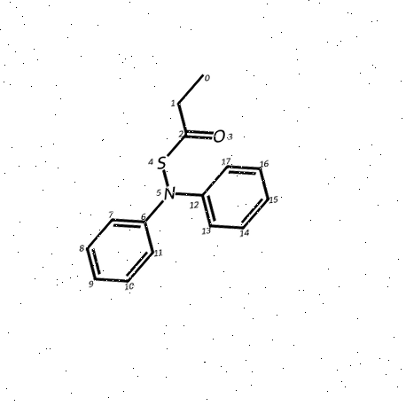 CCC(=O)SN(c1ccccc1)c1ccccc1